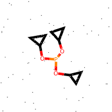 C1CC1OP(OC1CC1)OC1CC1